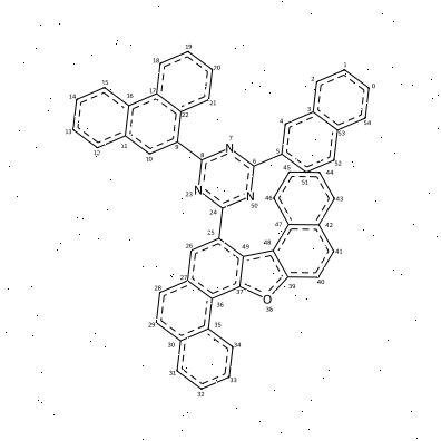 c1ccc2cc(-c3nc(-c4cc5ccccc5c5ccccc45)nc(-c4cc5ccc6ccccc6c5c5oc6ccc7ccccc7c6c45)n3)ccc2c1